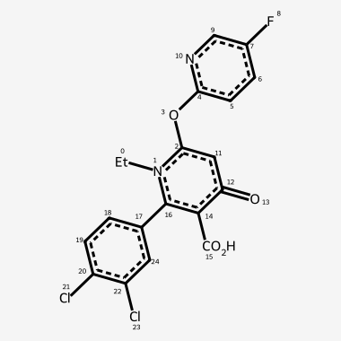 CCn1c(Oc2ccc(F)cn2)cc(=O)c(C(=O)O)c1-c1ccc(Cl)c(Cl)c1